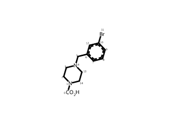 O=C(O)N1CCN(Cc2cccc(Br)c2)CC1